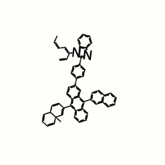 C=C/C(=C\C=C/C)n1c(-c2ccc(-c3ccc4c(C5=CC6(C)C=CC=CC6C=C5)c5ccccc5c(-c5ccc6ccccc6c5)c4c3)cc2)nc2ccccc21